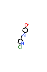 COc1ccc(N=Cc2ccc(Cl)nc2)cc1